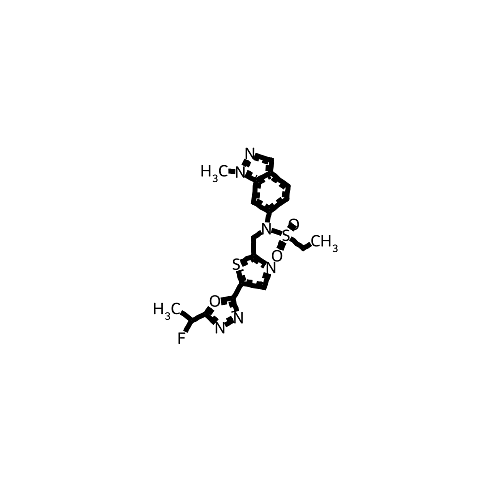 CCS(=O)(=O)N(Cc1ncc(-c2nnc(C(C)F)o2)s1)c1ccc2cnn(C)c2c1